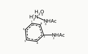 CC(=O)NN.CC(=O)Nc1ccccc1.O